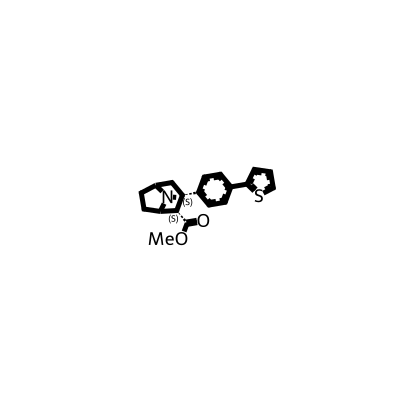 COC(=O)[C@@H]1C2CCC(C[C@@H]1c1ccc(-c3cccs3)cc1)N2C